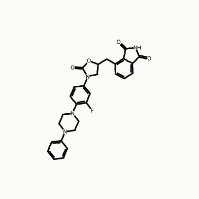 O=C1NC(=O)c2c(CC3CN(c4ccc(N5CCN(c6ccccc6)CC5)c(F)c4)C(=O)O3)cccc21